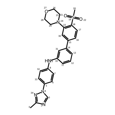 Cc1ncn(-c2ccc(Nc3cccc(-c4ccc(S(C)(=O)=O)c(N5CCOCC5)c4)c3)cc2)n1